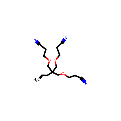 C=CCC(COCCC#N)(COCCC#N)COCCC#N